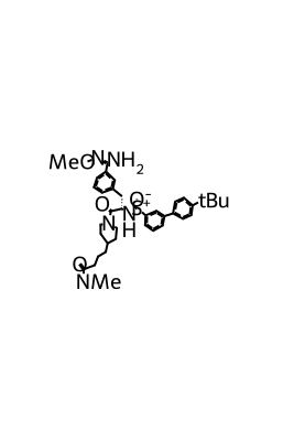 CNC(=O)CCCC1CCN(C(=O)[C@H](Cc2cccc(/C(N)=N\OC)c2)N[S+]([O-])c2cccc(-c3ccc(C(C)(C)C)cc3)c2)CC1